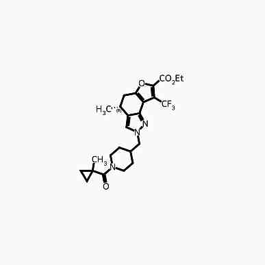 CCOC(=O)c1oc2c(c1C(F)(F)F)-c1nn(CC3CCN(C(=O)C4(C)CC4)CC3)cc1[C@H](C)C2